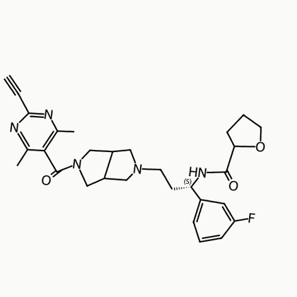 C#Cc1nc(C)c(C(=O)N2CC3CN(CC[C@H](NC(=O)C4CCCO4)c4cccc(F)c4)CC3C2)c(C)n1